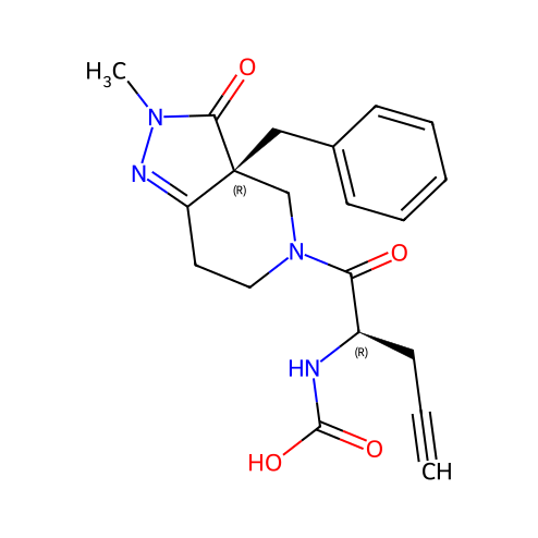 C#CC[C@@H](NC(=O)O)C(=O)N1CCC2=NN(C)C(=O)[C@]2(Cc2ccccc2)C1